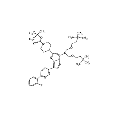 CC(C)(C)OC(=O)N1CCC(c2cc(N(COCC[Si](C)(C)C)COCC[Si](C)(C)C)n3ncc(-c4ccc(-c5ccccc5F)nc4)c3n2)CC1